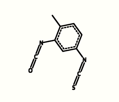 Cc1ccc(N=C=S)cc1N=C=O